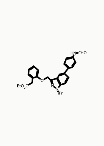 CCOC(=O)Cc1ccccc1OCc1nn(C(C)C)c2ccc(-c3ccc(NC=O)cc3)cc12